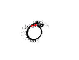 COC(=O)[C@H]1[C@@H]2C[C@@H](O[C@@H]3OC[C@@H](O)[C@H](N)[C@H]3O)/C=C/C=C/C=C/C=C/C=C/C=C/C=C/[C@H](C)[C@@H](O)[C@@H](C)[C@H](C)OC(=O)C[C@H](O)C[C@H](O)CCC(O)[C@H](O)C[C@H](O)C[C@](O)(C[C@@H]1O)O2